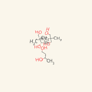 CC(C)(CO)CO.CC(C)C(O)C(C)(C)CO.CC(O)CCO